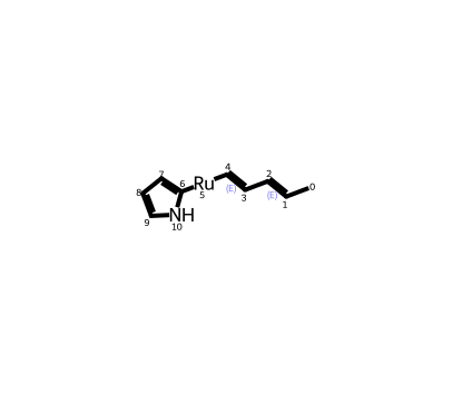 C/C=C/C=[CH]/[Ru][c]1ccc[nH]1